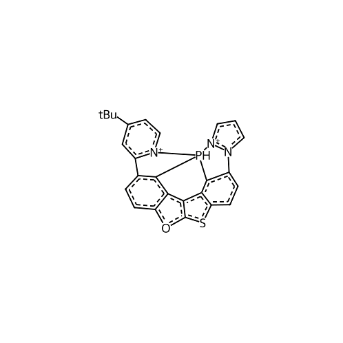 CC(C)(C)c1cc[n+]2c(c1)-c1ccc3oc4sc5ccc6c7c5c4c3c1[PH]72[n+]1cccn1-6